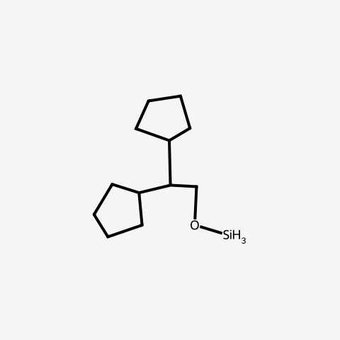 [SiH3]OCC(C1CCCC1)C1CCCC1